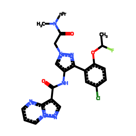 CCCN(C)C(=O)Cn1cc(NC(=O)c2cnn3cccnc23)c(-c2cc(Cl)ccc2OC(C)F)n1